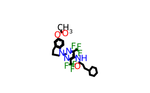 CC(=O)Oc1ccc2c(c1)CCCN2c1nc(C(F)(F)F)c(NC(=O)CCC2CCCCC2)c(C(F)(F)F)n1